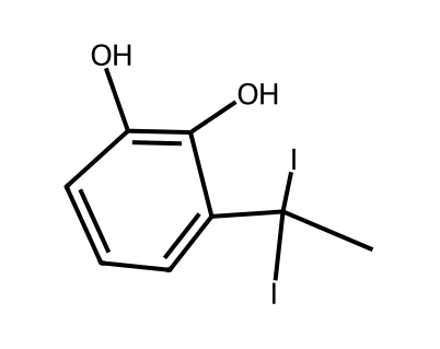 CC(I)(I)c1cccc(O)c1O